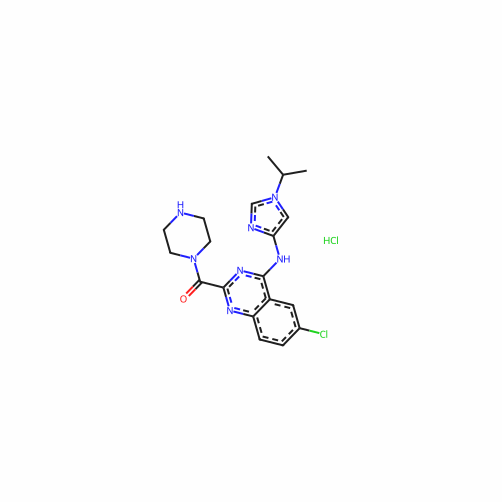 CC(C)n1cnc(Nc2nc(C(=O)N3CCNCC3)nc3ccc(Cl)cc23)c1.Cl